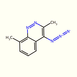 Cc1nnc2c(C)cccc2c1N=[N+]=[N-]